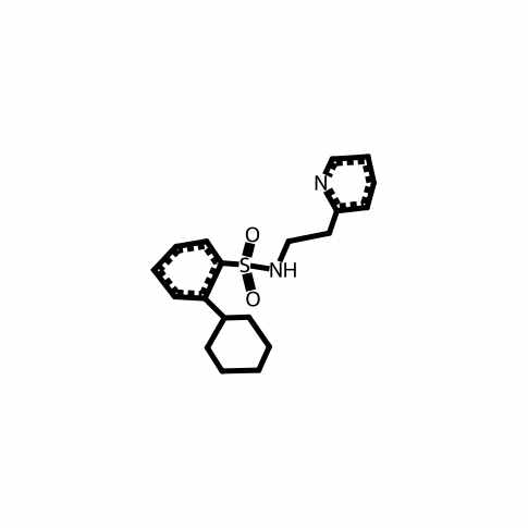 O=S(=O)(NCCc1ccccn1)c1ccccc1C1CCCCC1